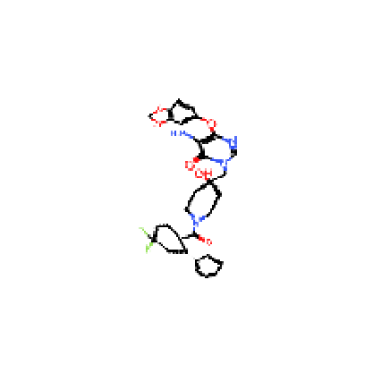 Nc1c(Oc2ccc3c(c2)OCO3)ncn(CC2(O)CCN(C(=O)[C@@H]3CCC(F)(F)C[C@H]3c3ccccc3)CC2)c1=O